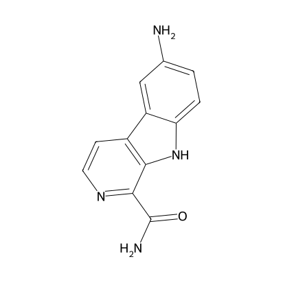 NC(=O)c1nccc2c1[nH]c1ccc(N)cc12